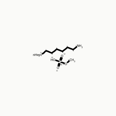 CCCCCCCCCCCCCN.COS(=O)(=O)O